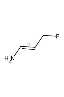 N/C=C/CF